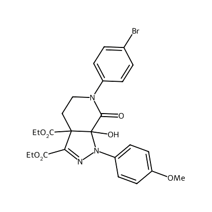 CCOC(=O)C1=NN(c2ccc(OC)cc2)C2(O)C(=O)N(c3ccc(Br)cc3)CCC12C(=O)OCC